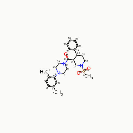 Cc1ccc(C)c(N2CCN(C(=O)[C@@H]3CN(S(C)(=O)=O)CC[C@@H]3c3ccccc3)CC2)c1